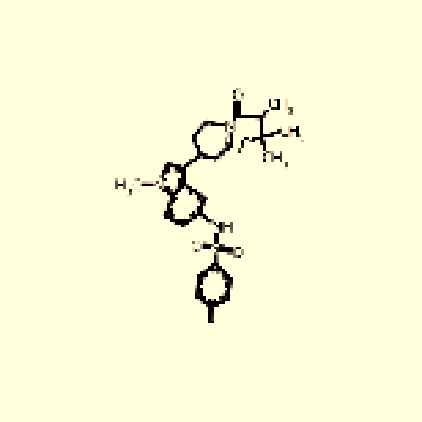 CC(C(=O)N1CCC(c2cn(C)c3ccc(NS(=O)(=O)c4ccc(F)cc4)cc23)CC1)C(C)(C)C